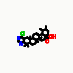 CC1CCC2(C(=O)O)CCC3(C)C(=CCC4C5(C)Cc6c(Cl)ncnc6C(C)(C)C5CCC43C)C2C1C